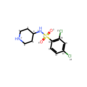 O=S(=O)(NC1CCNCC1)c1ccc(Cl)cc1Cl